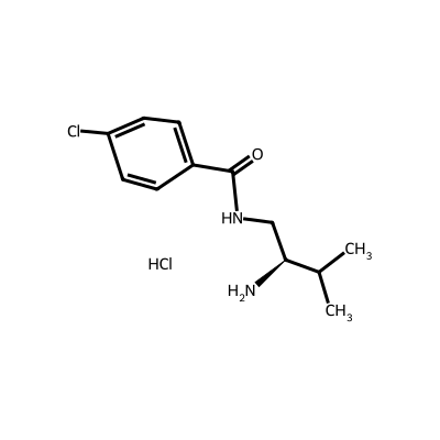 CC(C)[C@@H](N)CNC(=O)c1ccc(Cl)cc1.Cl